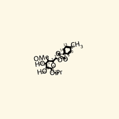 COC1C(COS(=O)(=O)c2ccc(C)cc2)OC(OC(C)C)[C@@H](O)C1O